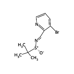 CC(C)(C)[S@@+]([O-])N=Cc1ncccc1Br